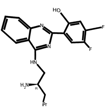 CC(C)C[C@@H](N)CNc1nc(-c2cc(F)c(F)cc2O)nc2ccccc12